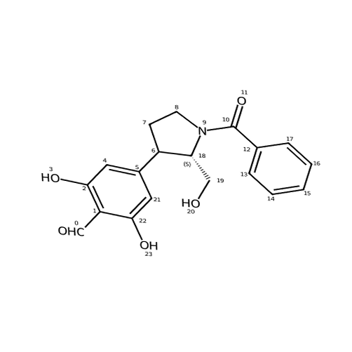 O=Cc1c(O)cc(C2CCN(C(=O)c3ccccc3)[C@@H]2CO)cc1O